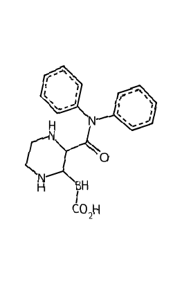 O=C(O)BC1NCCNC1C(=O)N(c1ccccc1)c1ccccc1